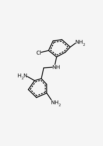 Nc1ccc(N)c(CNc2cc(N)ccc2Cl)c1